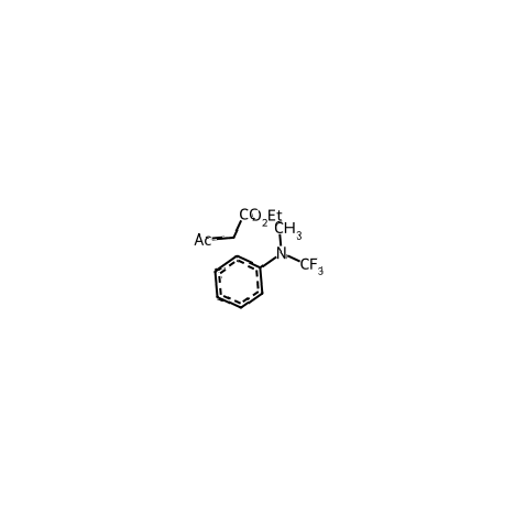 CCOC(=O)CC(C)=O.CN(c1ccccc1)C(F)(F)F